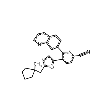 CC1(Cc2ncc(-c3ccc(C#N)nc3-c3ccc4cccnc4c3)o2)CCCC1